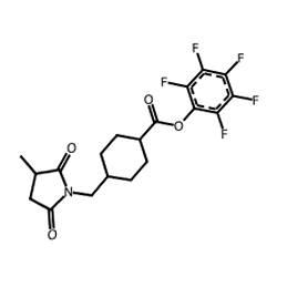 CC1CC(=O)N(CC2CCC(C(=O)Oc3c(F)c(F)c(F)c(F)c3F)CC2)C1=O